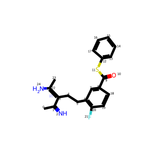 CC(=N)/C(CCc1cc(C(=O)Sc2ccccc2)ccc1F)=C(/C)N